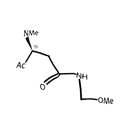 CN[C@@H](CC(=O)NCOC)C(C)=O